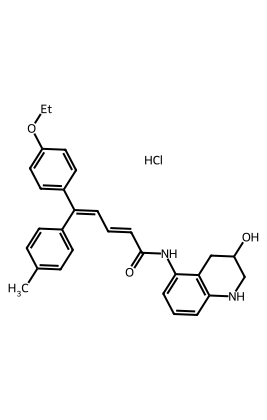 CCOc1ccc(/C(=C/C=C/C(=O)Nc2cccc3c2CC(O)CN3)c2ccc(C)cc2)cc1.Cl